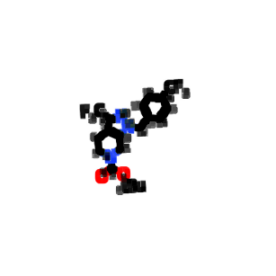 CC(C)(C)OC(=O)N1CCc2c(C(F)(F)F)nn(Cc3ccc(C(F)(F)F)cc3)c2C1